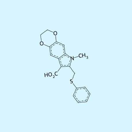 Cn1c(CSc2ccccc2)c(C(=O)O)c2cc3c(cc21)OCCO3